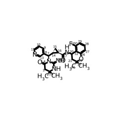 CC1(C)CC(=O)N([C@@H](c2cccnc2)[C@@H]2C[C@H]2C(=O)NC2CC(C)(C)Oc3cccc(F)c32)C(=N)N1